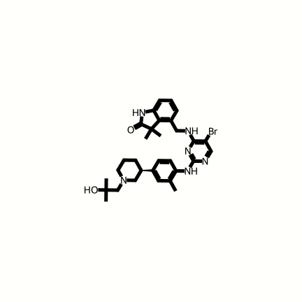 Cc1cc([C@@H]2CCCN(CC(C)(C)O)C2)ccc1Nc1ncc(Br)c(NCc2cccc3c2C(C)(C)C(=O)N3)n1